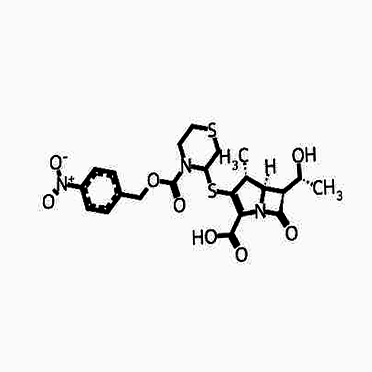 C[C@@H](O)[C@H]1C(=O)N2C(C(=O)O)=C(SC3CSCCN3C(=O)OCc3ccc([N+](=O)[O-])cc3)[C@H](C)[C@@H]12